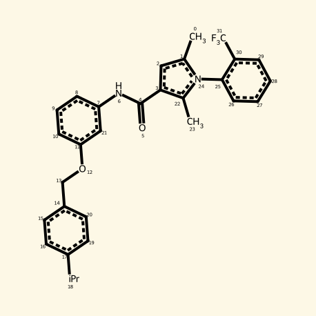 Cc1cc(C(=O)Nc2cccc(OCc3ccc(C(C)C)cc3)c2)c(C)n1-c1ccccc1C(F)(F)F